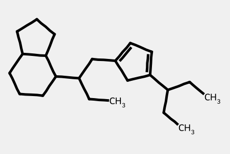 CCC(CC)C1=CC=C(CC(CC)C2CCCC3CCCC32)C1